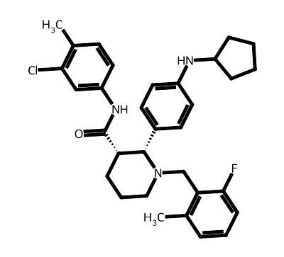 Cc1ccc(NC(=O)[C@H]2CCCN(Cc3c(C)cccc3F)[C@H]2c2ccc(NC3CCCC3)cc2)cc1Cl